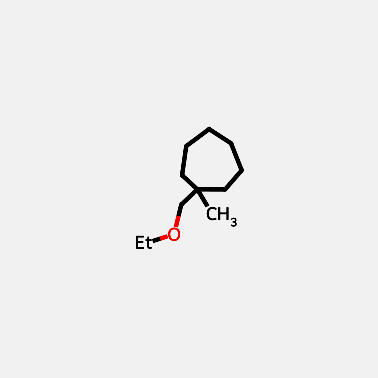 CCOCC1(C)CCCCCC1